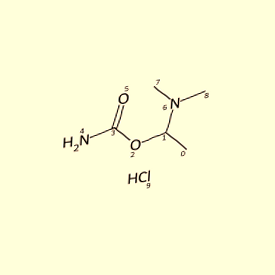 CC(OC(N)=O)N(C)C.Cl